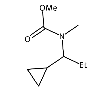 CCC(C1CC1)N(C)C(=O)OC